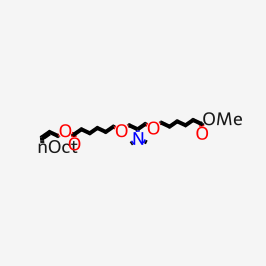 CCCCCCCC/C=C\COC(=O)CCCCCOCC(COCCCCCC(=O)OC)N(C)C